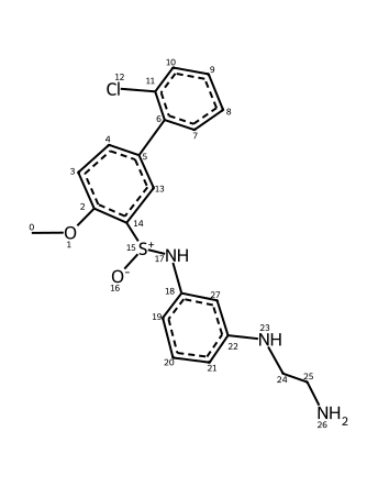 COc1ccc(-c2ccccc2Cl)cc1[S+]([O-])Nc1cccc(NCCN)c1